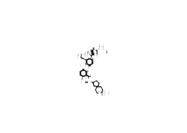 CN(C)S(=O)(=O)Nc1ccc(F)c(Oc2ccc3ncn([C@@H]4CCC5(CCNCC5)C4)c(=O)c3c2)c1C#N